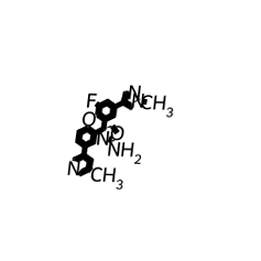 Cc1cncc(-c2ccc3c(c2)[C@@]2(COC(N)=N2)c2cc(-c4cnn(C)c4)cc(F)c2O3)c1